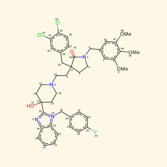 COc1cc(CN2CCC(CCN3CCC(O)(c4nc5ccccc5n4Cc4ccc(F)cc4)CC3)(Cc3ccc(Cl)c(Cl)c3)C2=O)cc(OC)c1OC